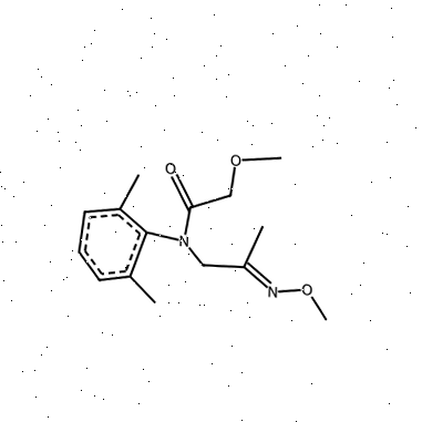 COCC(=O)N(C/C(C)=N/OC)c1c(C)cccc1C